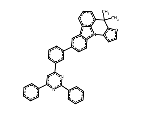 CC1(C)c2occc2-n2c3ccc(-c4cccc(-c5cc(-c6ccccc6)nc(-c6ccccc6)n5)c4)cc3c3cccc1c32